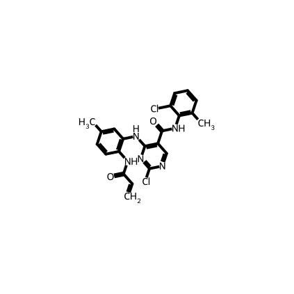 C=CC(=O)Nc1ccc(C)cc1Nc1nc(Cl)ncc1C(=O)Nc1c(C)cccc1Cl